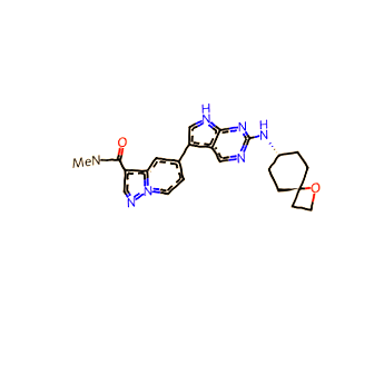 CNC(=O)c1cnn2ccc(-c3c[nH]c4nc(N[C@H]5CC[C@@]6(CCO6)CC5)ncc34)cc12